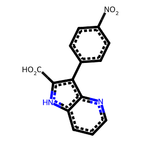 O=C(O)c1[nH]c2cccnc2c1-c1ccc([N+](=O)[O-])cc1